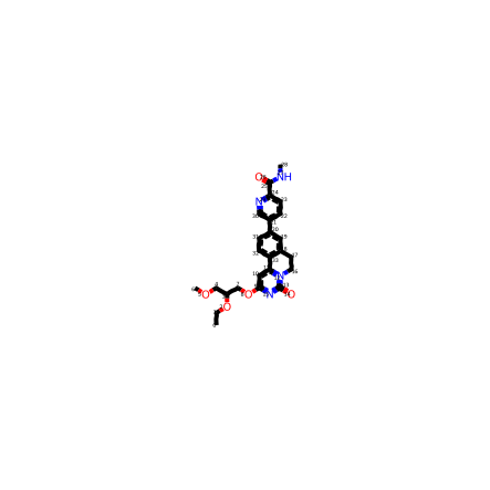 CCOC(COC)COc1cc2n(c(=O)n1)CCc1cc(-c3ccc(C(=O)NC)nc3)ccc1-2